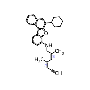 C#C/C=C(C)\C=C(\C)CNc1cccc2c1oc1c(C3CCCCC3)cc3ccccc3c12